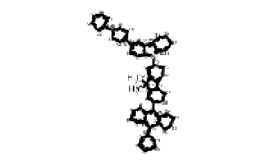 CC1(C)c2cc(-c3c4ccccc4c(-c4ccccc4)c4ccccc34)ccc2-c2ccc(-n3c4ccccc4c4cc(-c5ccc(-c6ccccc6)cc5)ccc43)cc21